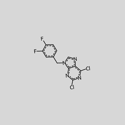 Fc1ccc(Cn2cnc3c(Cl)nc(Cl)nc32)cc1F